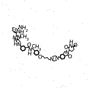 CC/C=C(\NCN)c1nnc(CNc2cccc(C(=O)N[C@H](C)c3ccc(OCCCCN4CCN(c5ccc6c(c5)CN(C5CCC(=O)NC5=O)C6=O)CC4)cc3)c2)n1C